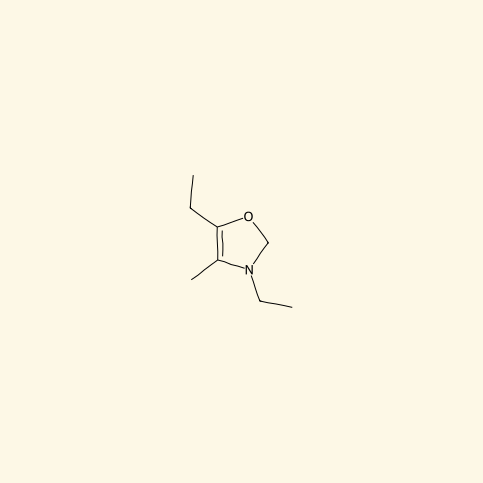 CCC1=C(C)N(CC)CO1